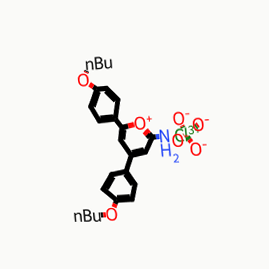 CCCCOc1ccc(-c2cc(N)[o+]c(-c3ccc(OCCCC)cc3)c2)cc1.[O-][Cl+3]([O-])([O-])[O-]